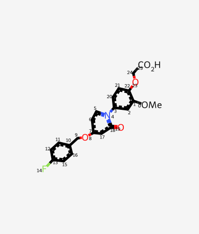 COc1cc(-n2ccc(OCc3ccc(F)cc3)cc2=O)ccc1OCC(=O)O